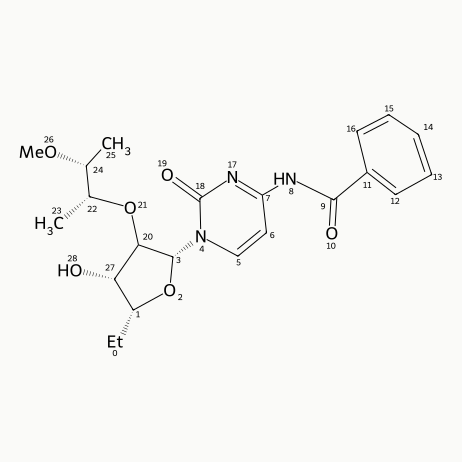 CC[C@H]1O[C@@H](n2ccc(NC(=O)c3ccccc3)nc2=O)C(O[C@H](C)[C@@H](C)OC)[C@H]1O